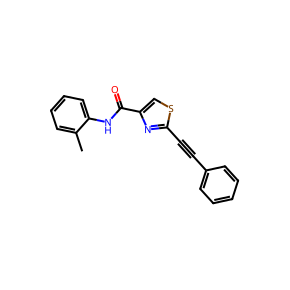 Cc1ccccc1NC(=O)c1csc(C#Cc2ccccc2)n1